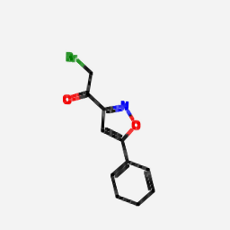 O=C(CBr)c1cc(C2=CCCC=C2)on1